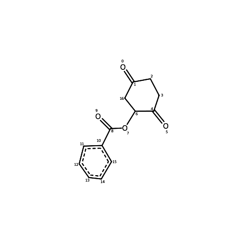 O=C1CCC(=O)C(OC(=O)c2ccccc2)C1